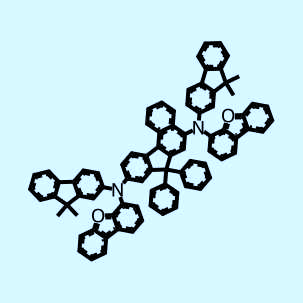 CC1(C)c2ccccc2-c2ccc(N(c3ccc4c(c3)C(c3ccccc3)(c3ccccc3)c3cc(N(c5ccc6c(c5)C(C)(C)c5ccccc5-6)c5cccc6c5oc5ccccc56)c5ccccc5c3-4)c3cccc4c3oc3ccccc34)cc21